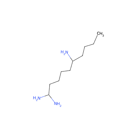 CCCCC(N)CCCCC(N)N